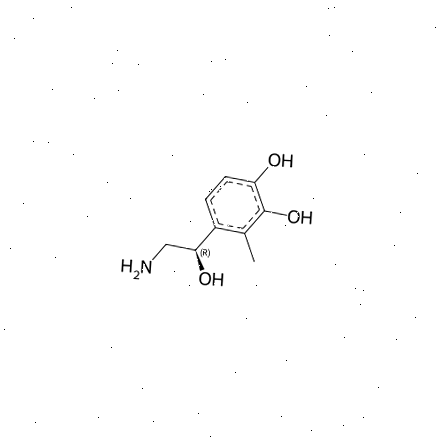 Cc1c([C@@H](O)CN)ccc(O)c1O